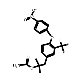 CC(C)(Cc1ccc(Oc2ccc([N+](=O)[O-])cc2)c(C(F)(F)F)c1)OC(N)=O